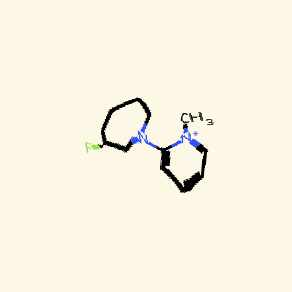 C[n+]1ccccc1N1CCC[C@H](F)C1